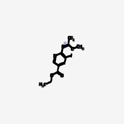 CCOC(=O)c1cnc(/N=C(/C)OC)c(I)c1